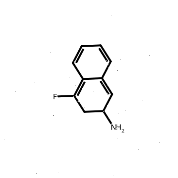 NC1C=c2ccccc2=C(F)C1